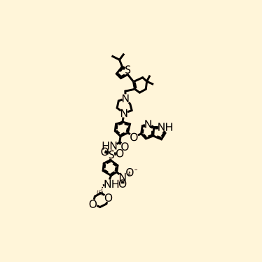 CC(C)c1ccc(C2=C(CN3CCN(c4ccc(C(=O)NS(=O)(=O)c5ccc(NC[C@H]6COCCO6)c([N+](=O)[O-])c5)c(Oc5cnc6[nH]ccc6c5)c4)CC3)CCC(C)(C)C2)s1